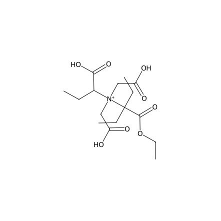 CCOC(=O)C(CC)(CC)[N+](CC(=O)O)(CC(=O)O)C(CC)C(=O)O